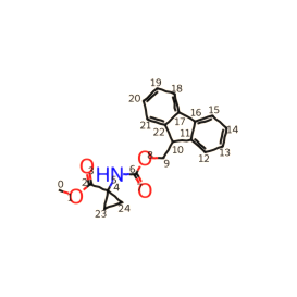 COC(=O)C1(NC(=O)OCC2c3ccccc3-c3ccccc32)CC1